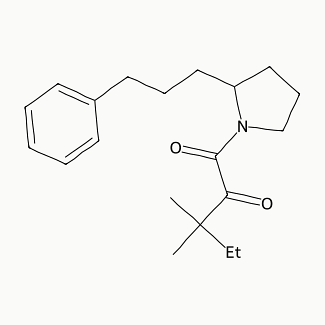 CCC(C)(C)C(=O)C(=O)N1CCCC1CCCc1ccccc1